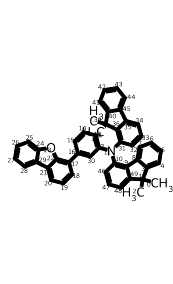 CC1(C)c2ccccc2-c2c(N(c3cccc(-c4cccc5c4oc4ccccc45)c3)c3cccc4c3C(C)(C)c3ccccc3-4)cccc21